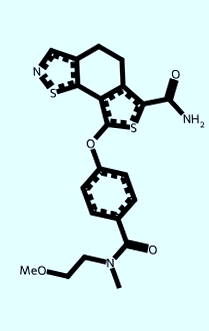 COCCN(C)C(=O)c1ccc(Oc2sc(C(N)=O)c3c2-c2sncc2CC3)cc1